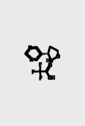 O=C(O)C(F)(F)F.c1ncc([C@@H]2CCON2)cn1